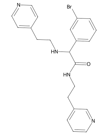 O=C(NCCc1cccnc1)C(NCCc1ccncc1)c1cccc(Br)c1